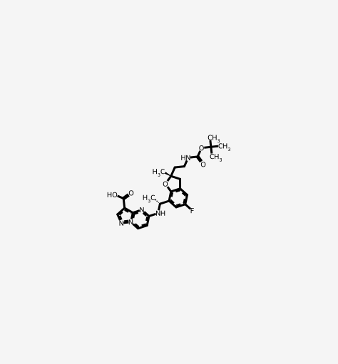 C[C@@H](Nc1ccn2ncc(C(=O)O)c2n1)c1cc(F)cc2c1O[C@](C)(CCNC(=O)OC(C)(C)C)C2